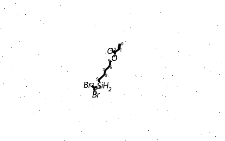 C=CC(=O)OCCCCC[SiH2]C(Br)Br